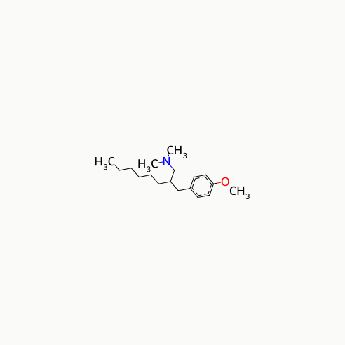 CCCCCCC(Cc1ccc(OC)cc1)CN(C)C